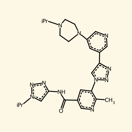 Cc1ncc(C(=O)Nc2cn(C(C)C)nn2)cc1-n1cc(-c2cncc(N3CCN(C(C)C)CC3)c2)nn1